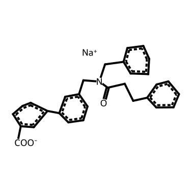 O=C([O-])c1cccc(-c2cccc(CN(Cc3ccccc3)C(=O)CCc3ccccc3)c2)c1.[Na+]